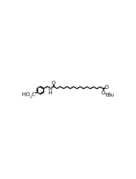 CC(C)(C)OC(=O)CCCCCCCCCCCCCCC(=O)NCc1ccc(C(=O)O)cc1